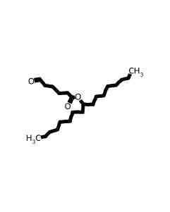 CCCCCCCCC(CCCCCCCC)OC(=O)CCCCC=O